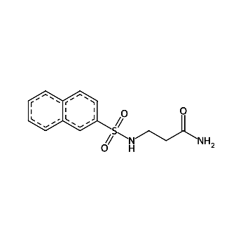 NC(=O)CCNS(=O)(=O)c1ccc2ccccc2c1